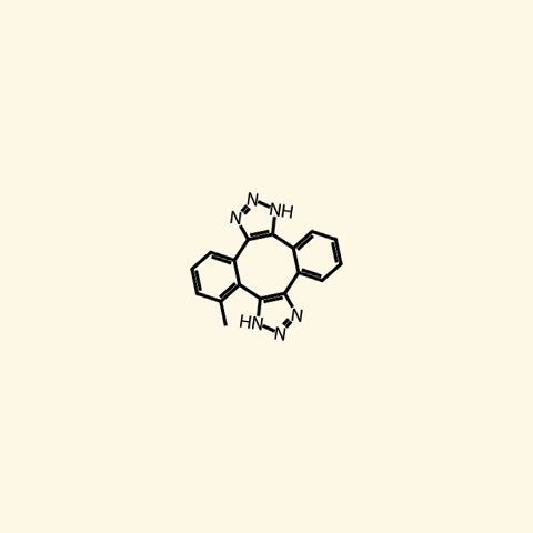 Cc1cccc2c1-c1[nH]nnc1-c1ccccc1-c1[nH]nnc1-2